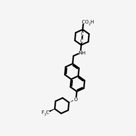 O=C(O)C12CCC(NCc3ccc4cc(O[C@H]5CC[C@H](C(F)(F)F)CC5)ccc4c3)(CC1)CC2